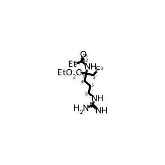 CCOC(=O)C(CF)(CCCNC(=N)N)NC(=O)CC